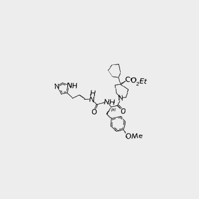 CCOC(=O)C1(C2CCCCC2)CCN(C(=O)[C@@H](Cc2ccc(OC)cc2)NC(=O)NCCCc2cnc[nH]2)CC1